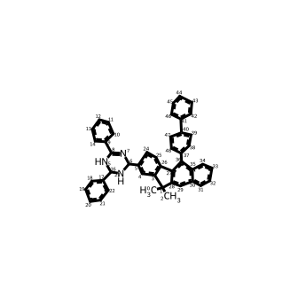 CC1(C)c2cc(C3N=C(c4ccccc4)NC(c4ccccc4)N3)ccc2-c2c1cc1ccccc1c2-c1ccc(-c2ccccc2)cc1